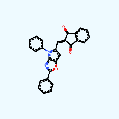 O=C1C(=Cc2cc3oc(-c4ccccc4)nc3n2-c2ccccc2)C(=O)c2ccccc21